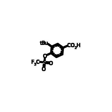 CC(C)(C)c1cc(C(=O)O)ccc1OS(=O)(=O)C(F)(F)F